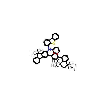 CC1(C)CCC(C)(C)c2c(-c3ccc(-c4cc5c(cc4N(c4ccccc4)c4cccc6c4sc4ccccc46)C(C)(C)c4ccccc4-5)cc3)cccc21